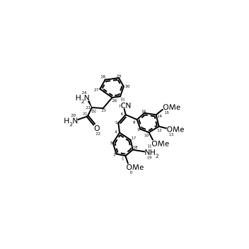 COc1ccc(C=C(C#N)c2cc(OC)c(OC)c(OC)c2)cc1N.NC(=O)[C@@H](N)Cc1ccccc1